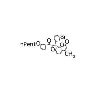 CCCCCOc1cccc(C(=O)c2oc3ccc4c(C)cc(=O)oc4c3c2-c2cccc(Br)c2)c1